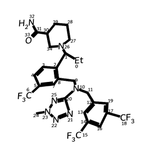 CCC(c1ccc(C(F)(F)F)cc1CN(Cc1cc(C(F)(F)F)cc(C(F)(F)F)c1)c1nnn(C)n1)N1CCCC(C(N)=O)C1